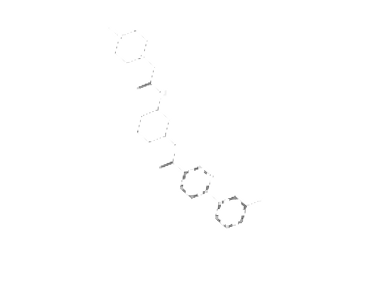 CN1CCN(CC(=O)NC2CCCC(NC(=O)c3ccc(-c4cccc(F)c4)nc3)C2)CC1